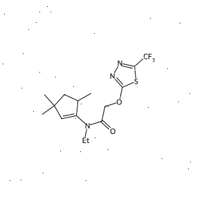 CCN(C(=O)COc1nnc(C(F)(F)F)s1)C1=CC(C)(C)CC1C